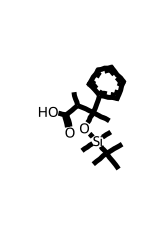 CC(C(=O)O)C(C)(O[Si](C)(C)C(C)(C)C)c1ccccc1